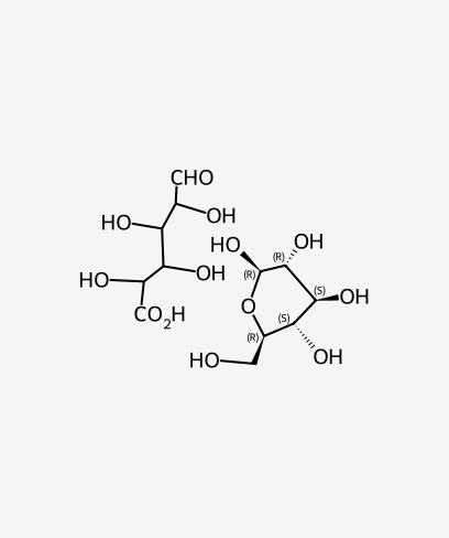 O=CC(O)C(O)C(O)C(O)C(=O)O.OC[C@H]1O[C@@H](O)[C@H](O)[C@@H](O)[C@@H]1O